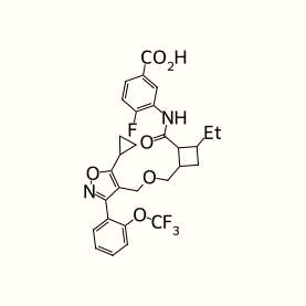 CCC1CC(COCc2c(-c3ccccc3OC(F)(F)F)noc2C2CC2)C1C(=O)Nc1cc(C(=O)O)ccc1F